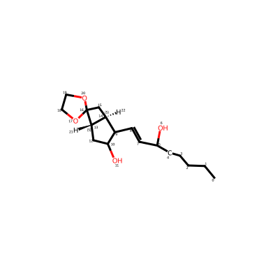 CCCCCC(O)C=CC1C(O)C[C@H]2[C@H]1CC21OCCO1